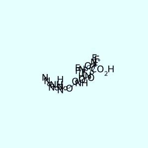 CN1CCN(c2ccc3nc(-c4ccc5nc(-c6ccc(OCCCCC(=O)NCCOCCCNC(=O)c7ccc(C(=O)O)c(-c8c9cc(F)c(=[N+]%10CC(F)(F)C%10)cc-9oc9cc(N%10CC(F)(F)C%10)c(F)cc89)c7)cc6)[nH]c5c4)[nH]c3c2)CC1